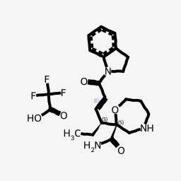 CC[C@@H](/C=C/C(=O)N1CCc2ccccc21)[C@@]1(C(N)=O)CNCCCO1.O=C(O)C(F)(F)F